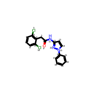 O=C(Cc1c(Cl)cccc1Cl)Nc1ccn(-c2ccccc2)n1